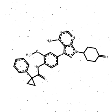 COc1cc(-c2nn(C3CCC(=O)CC3)c3ncnc(N)c23)ccc1NC(=O)C1(c2ccccc2)CC1